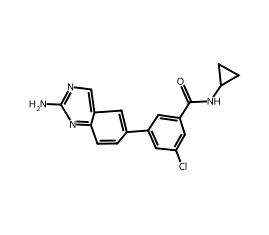 Nc1ncc2cc(-c3cc(Cl)cc(C(=O)NC4CC4)c3)ccc2n1